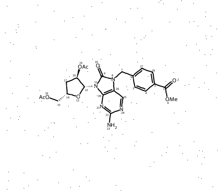 COC(=O)c1ccc(Cn2c(=O)n([C@@H]3O[C@H](COC(C)=O)C[C@H]3OC(C)=O)c3nc(N)ncc32)cc1